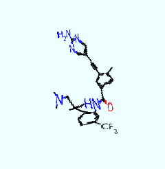 Cc1ccc(C(=O)Nc2cc(C(F)(F)F)ccc2C(C)(C)CN(C)C)cc1C#Cc1cnc(N)nc1